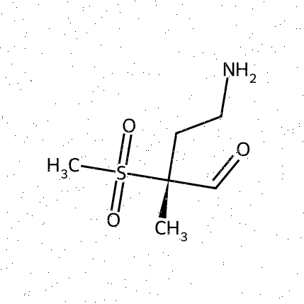 C[C@](C=O)(CCN)S(C)(=O)=O